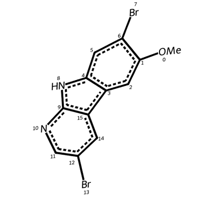 COc1cc2c(cc1Br)[nH]c1ncc(Br)cc12